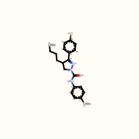 COCCCC1CN(C(=O)Nc2ccc(OC)cc2)N=C1c1ccc(Cl)cc1